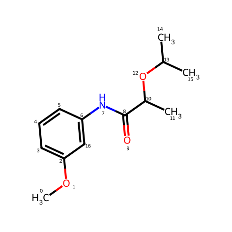 COc1cccc(NC(=O)C(C)OC(C)C)c1